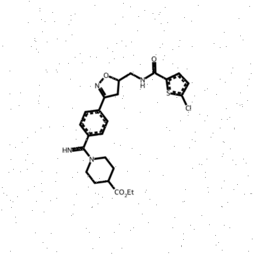 CCOC(=O)C1CCN(C(=N)c2ccc(C3=NOC(CNC(=O)c4ccc(Cl)s4)C3)cc2)CC1